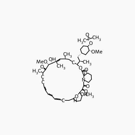 CO[C@@H]1C[C@H](C[C@@H](C)[C@@H]2CC[C@H](C)/C=C(\C)[C@@H](O)[C@@H](OC)C(=O)[C@H](C)CC/C=C/C=C/C=C/CC[C@@H]3CC[C@@H](C)[C@@](O)(O3)C(=O)C(=O)N3CCCC[C@H]3C(=O)O2)CC[C@H]1OP(C)(C)=O